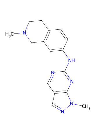 CN1CCc2ccc(Nc3ncc4cnn(C)c4n3)cc2C1